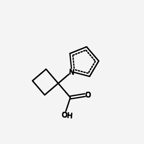 O=C(O)C1(n2cccc2)CCC1